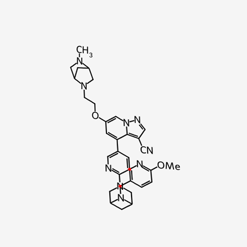 COc1ccc(CN2C3CC2CN(c2ccc(-c4cc(OCCN5CC6CC5CN6C)cn5ncc(C#N)c45)cn2)C3)cn1